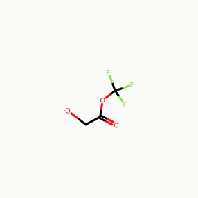 [O]CC(=O)OC(F)(F)F